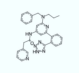 CCCN(Cc1ccccc1)c1cc(NC(=O)Cc2cccnc2)cc(-c2ccccc2-c2nn[nH]n2)n1